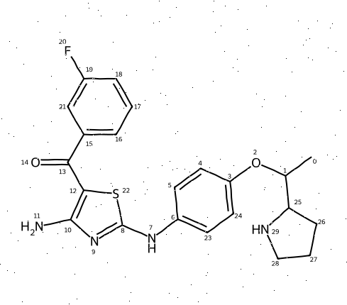 CC(Oc1ccc(Nc2nc(N)c(C(=O)c3cccc(F)c3)s2)cc1)C1CCCN1